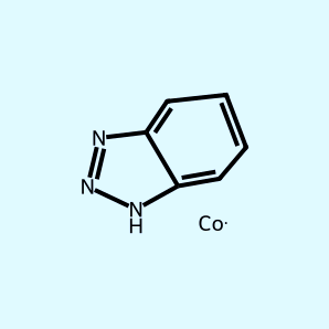 [Co].c1ccc2[nH]nnc2c1